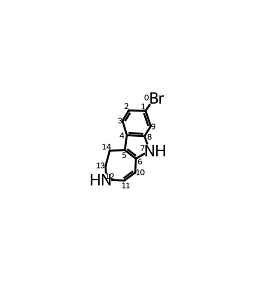 Brc1ccc2c3c([nH]c2c1)C=CNCC3